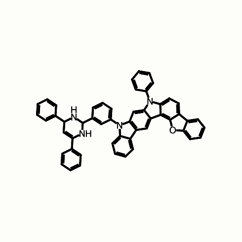 C1=C(c2ccccc2)NC(c2cccc(-n3c4ccccc4c4cc5c6c7oc8ccccc8c7ccc6n(-c6ccccc6)c5cc43)c2)NC1c1ccccc1